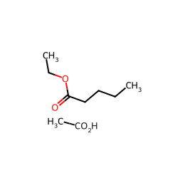 CC(=O)O.CCCCC(=O)OCC